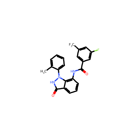 Cc1ccccc1-n1[nH]c(=O)c2cccc(NC(=O)c3cc(F)cc(C(F)(F)F)c3)c21